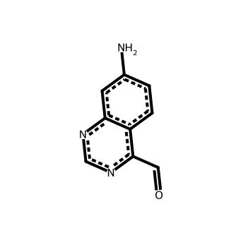 Nc1ccc2c(C=O)ncnc2c1